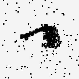 CCC(=O)OCCOCCOCCOCS(=O)(=O)N[C@H]1CC[C@]2(C)[C@H]3C(=O)C=C4[C@@H]5C[C@@](C)(C(=O)O)CC[C@]5(C)CC[C@@]4(C)[C@]3(C)CC[C@H]2C1(C)C